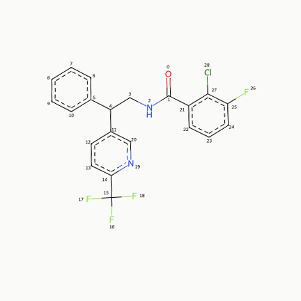 O=C(NCC(c1ccccc1)c1ccc(C(F)(F)F)nc1)c1cccc(F)c1Cl